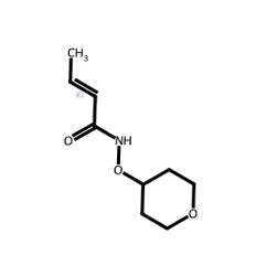 C/C=C/C(=O)NOC1CCOCC1